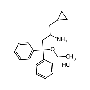 CCOC(CC(N)CC1CC1)(c1ccccc1)c1ccccc1.Cl